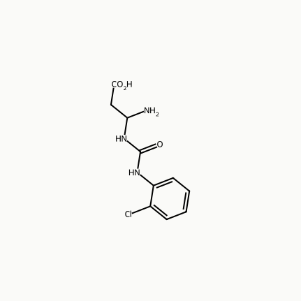 NC(CC(=O)O)NC(=O)Nc1ccccc1Cl